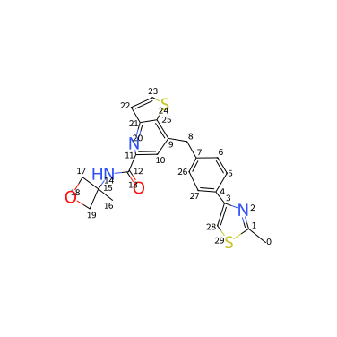 Cc1nc(-c2ccc(Cc3cc(C(=O)NC4(C)COC4)nc4ccsc34)cc2)cs1